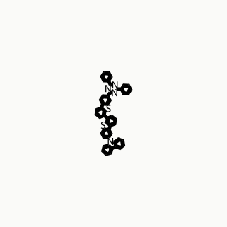 c1ccc(-c2nc(-c3ccccc3)nc(-c3ccc4c(c3)sc3c(-c5cccc6c5sc5ccc(-n7c8ccccc8c8ccccc87)cc56)cccc34)n2)cc1